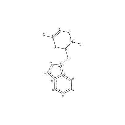 CC1=CCN(C)C(Cc2csc3ccccc23)C1